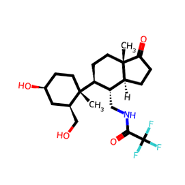 C[C@]1([C@H]2CC[C@]3(C)C(=O)CC[C@H]3[C@@H]2CNC(=O)C(F)(F)F)CC[C@H](O)C[C@@H]1CO